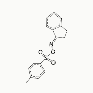 Cc1ccc(S(=O)(=O)ON=C2CCc3ccccc32)cc1